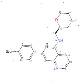 CC(C)(C)c1ccc(-c2cc3nccnc3c(NC[C@@H]3CNCCO3)n2)cc1